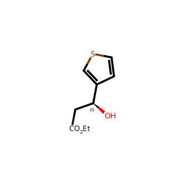 CCOC(=O)C[C@H](O)c1ccsc1